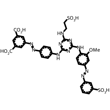 COc1cc(N=Nc2cccc(S(=O)(=O)O)c2)ccc1Nc1nc(NCCS(=O)(=O)O)nc(Nc2ccc(N=Nc3cc(C(=O)O)cc(C(=O)O)c3)cc2)n1